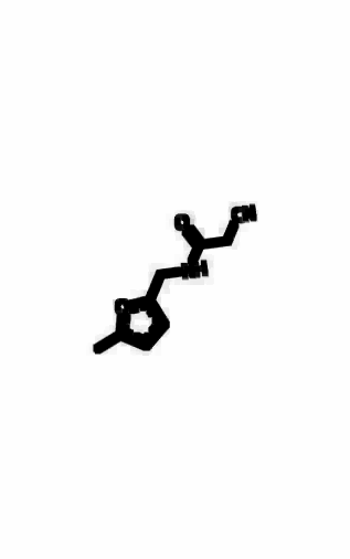 Cc1ccc(CNC(=O)CC#N)o1